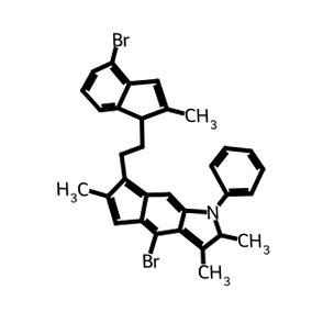 CC1=Cc2c(Br)c3c(cc2=C1CCC1C(C)=Cc2c(Br)cccc21)N(c1ccccc1)C(C)C=3C